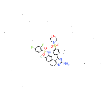 Nc1nc2c(c(-c3ccc(S(=O)(=O)N4CCOCC4)cc3)n1)-c1cc(NS(=O)(=O)c3ccc(F)cc3F)c(Cl)cc1CC2